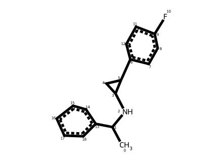 CC(NC1CC1c1ccc(F)cc1)c1ccccc1